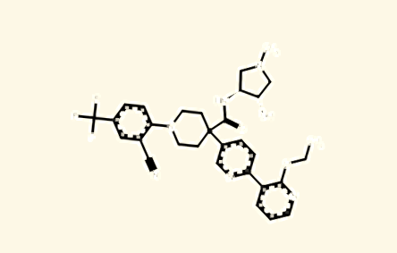 CCOc1ncccc1-c1ccc(C2(C(=O)N[C@H]3CN(C)C[C@@H]3O)CCN(c3ccc(C(F)(F)F)cc3C#N)CC2)cn1